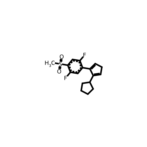 CS(=O)(=O)c1cc(F)c(C2=CCC=C2C2CCCC2)cc1F